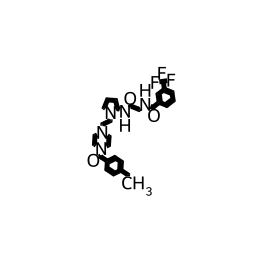 CCc1ccc(C(=O)N2CCN(CCN3CCCC3NC(=O)CNC(=O)c3cccc(C(F)(F)F)c3)CC2)cc1